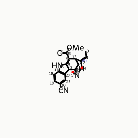 C/C=C1/CN2CC[C@]34C(=C(C(=O)OC)C1C[C@H]23)Nc1ccc(C#N)cc14